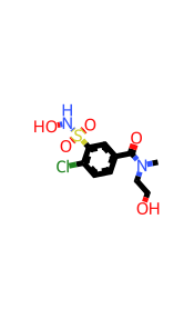 CN(CCO)C(=O)c1ccc(Cl)c(S(=O)(=O)NO)c1